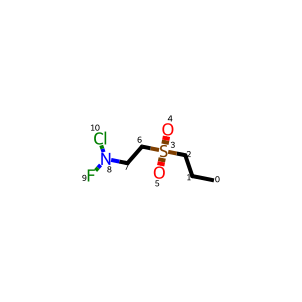 CCCS(=O)(=O)CCN(F)Cl